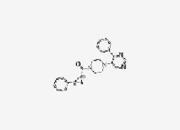 O=C([C@@H]1C[C@H]1c1ccccc1)N1CCN(c2cncnc2-c2ccccc2)CC1